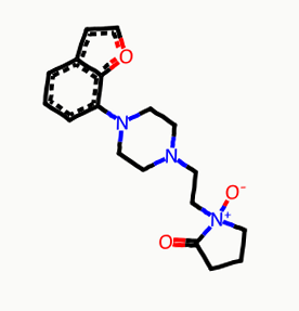 O=C1CCC[N+]1([O-])CCN1CCN(c2cccc3ccoc23)CC1